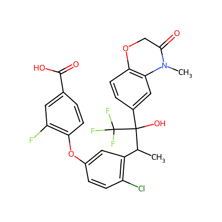 CC(c1cc(Oc2ccc(C(=O)O)cc2F)ccc1Cl)C(O)(c1ccc2c(c1)N(C)C(=O)CO2)C(F)(F)F